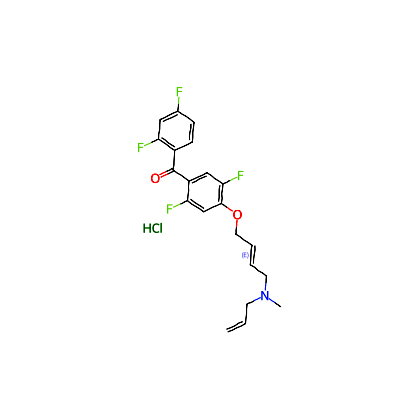 C=CCN(C)C/C=C/COc1cc(F)c(C(=O)c2ccc(F)cc2F)cc1F.Cl